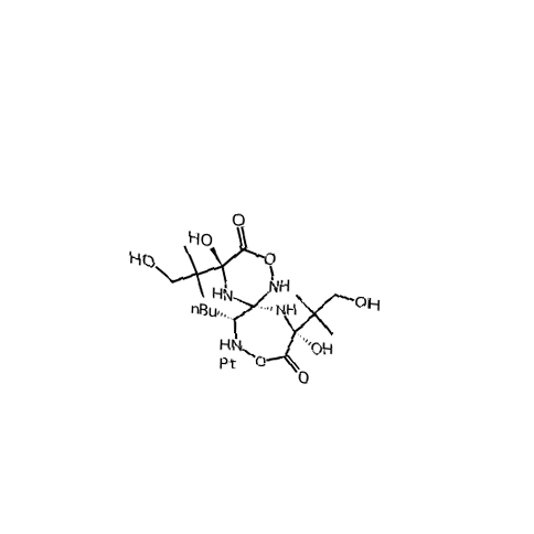 CCCC[C@H]1NOC(=O)[C@](O)(C(C)(C)CO)N[C@]12NOC(=O)[C@@](O)(C(C)(C)CO)N2.[Pt]